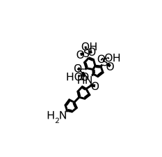 Nc1ccc(-c2ccc(C(=O)Nc3ccc(S(=O)(=O)O)c4cc(S(=O)(=O)O)cc(S(=O)(=O)O)c34)cc2)cc1